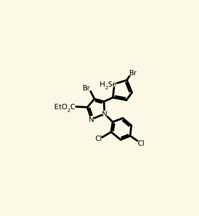 CCOC(=O)c1nn(-c2ccc(Cl)cc2Cl)c(C2=CC=C(Br)[SeH2]2)c1Br